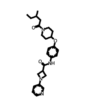 CCC(C)CC(=O)N1CCC(Oc2ccc(NC(=O)C3CN(c4cccnc4)C3)cc2)CC1